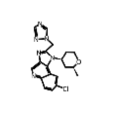 C[C@H]1C[C@@H](n2c(Cn3cncn3)nc3cnc4ccc(Cl)cc4c32)CCO1